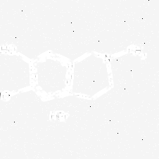 Br.CN1CCc2cc(O)c(O)cc2C1